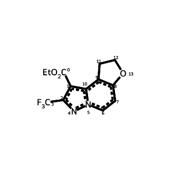 CCOC(=O)c1c(C(F)(F)F)nn2ccc3c(c12)CCO3